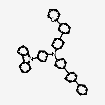 c1ccc(-c2ccc(-c3ccc(N(c4ccc(-c5cccc(-c6ccccc6)c5)cc4)c4ccc(-n5c6ccccc6c6ccccc65)cc4)cc3)cc2)cc1